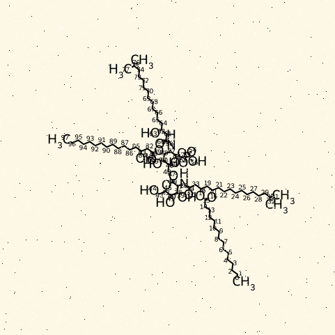 CCCCCCCCCCCCCCCC(=O)OC(CCCCCCCCCCCC(C)C)CC(=O)NC1C(O)[C@H](O)C(CO)O[C@H]1OCC1O[C@H](OP(=O)(O)O)C(NC(=O)CC(O)CCCCCCCCCCCC(C)C)C(OC(=O)CC(O)CCCCCCCCCCCCC)[C@@H]1O